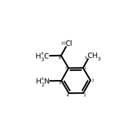 Cc1cccc(N)c1C(C)Cl